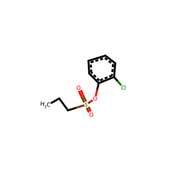 CCCS(=O)(=O)Oc1ccccc1Cl